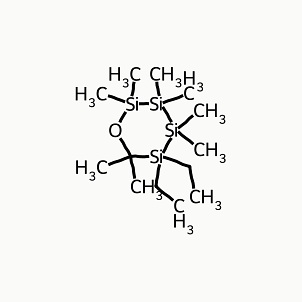 CC[Si]1(CC)C(C)(C)O[Si](C)(C)[Si](C)(C)[Si]1(C)C